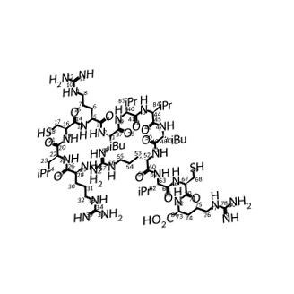 CC[C@H](C)[C@H](NC(=O)[C@H](CCCNC(=N)N)NC(=O)[C@H](CS)NC(=O)[C@H](CC(C)C)NC(=O)[C@@H](N)CCCNC(=N)N)C(=O)N[C@H](C(=O)N[C@H](C(=O)N[C@H](C(=O)N[C@@H](CCCNC(=N)N)C(=O)N[C@H](C(=O)N[C@@H](CS)C(=O)N[C@@H](CCCNC(=N)N)C(=O)O)C(C)C)[C@@H](C)CC)C(C)C)C(C)C